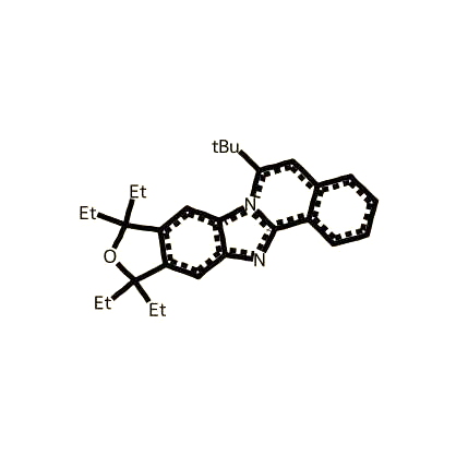 CCC1(CC)OC(CC)(CC)c2cc3c(cc21)nc1c2ccccc2cc(C(C)(C)C)n31